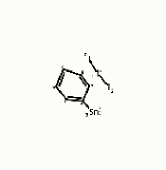 I[I-]I.[Sn][c]1ccccc1